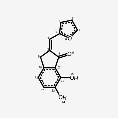 O=C1/C(=C\c2ccco2)Cc2ccc(O)c(O)c21